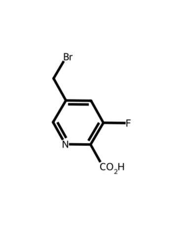 O=C(O)c1ncc(CBr)cc1F